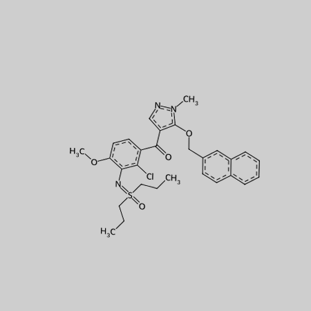 CCCS(=O)(CCC)=Nc1c(OC)ccc(C(=O)c2cnn(C)c2OCc2ccc3ccccc3c2)c1Cl